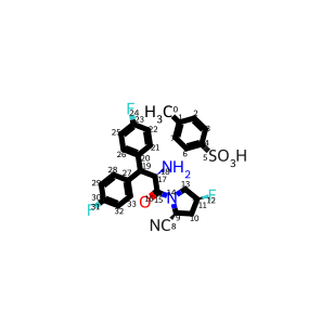 Cc1ccc(S(=O)(=O)O)cc1.N#C[C@@H]1C[C@H](F)CN1C(=O)[C@@H](N)C(c1ccc(F)cc1)c1ccc(F)cc1